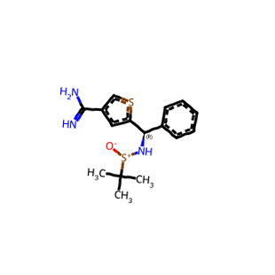 CC(C)(C)[S+]([O-])N[C@H](c1ccccc1)c1cc(C(=N)N)cs1